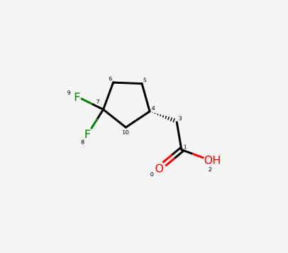 O=C(O)C[C@H]1CCC(F)(F)C1